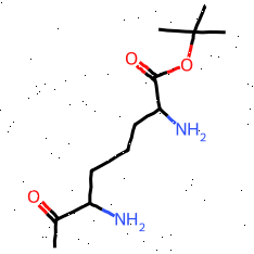 CC(=O)C(N)CCCC(N)C(=O)OC(C)(C)C